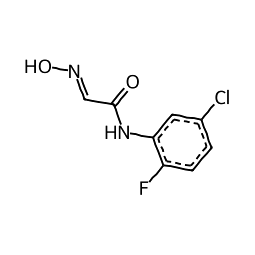 O=C(/C=N/O)Nc1cc(Cl)ccc1F